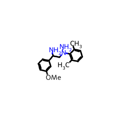 COc1cccc(C(N)CN(N)c2c(C)cccc2C)c1